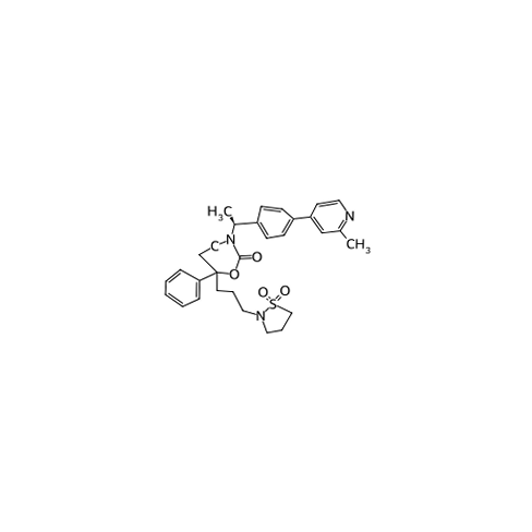 Cc1cc(-c2ccc([C@H](C)N3CCC(CCCN4CCCS4(=O)=O)(c4ccccc4)OC3=O)cc2)ccn1